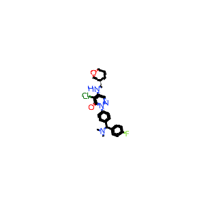 CN(C)C(c1ccc(F)cc1)c1ccc(-n2ncc(NC[C@H]3CCCOC3)c(Cl)c2=O)cc1